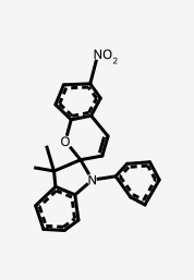 CC1(C)c2ccccc2N(c2ccccc2)C12C=Cc1cc([N+](=O)[O-])ccc1O2